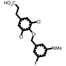 CNc1cc(F)cc(COc2c(Cl)cc(CCC(=O)O)cc2Cl)c1